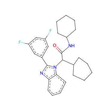 O=C(NC1CCCCC1)C(C1CCCCC1)n1c(-c2cc(F)cc(F)c2)nc2ccccc21